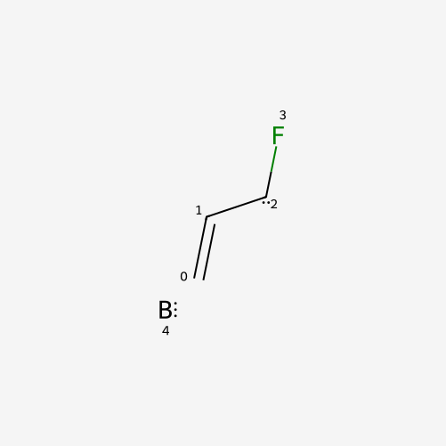 C=C[C]F.[B]